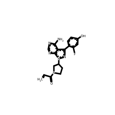 C=CC(=O)N1CCC(n2nc(-c3ccc(O)cc3F)c3c(N)ncnc32)C1